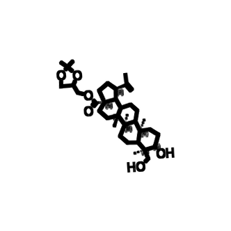 C=C(C)[C@@H]1CC[C@]2(C(=O)OCC3COC(C)(C)O3)CC[C@]3(C)C(CCC4[C@@]5(C)CC[C@H](O)[C@@](C)(CO)C5CC[C@]43C)C12